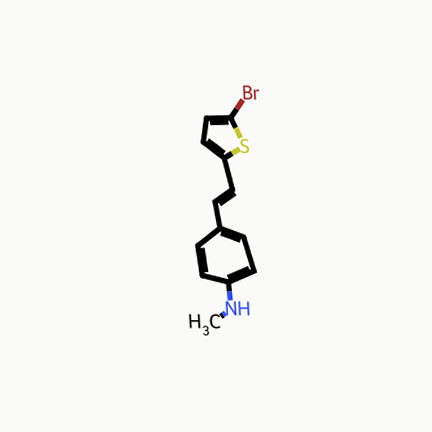 CNc1ccc(/C=C/c2ccc(Br)s2)cc1